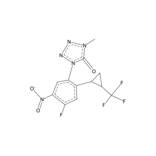 Cn1nnn(-c2cc([N+](=O)[O-])c(F)cc2C2CC2C(F)(F)F)c1=O